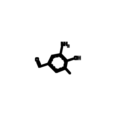 Cc1cc(C=O)cc(N)c1O